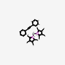 C(#Cc1ccccc1)c1ccccc1.Cc1c(C)c(C)[p]([Zr][p]2c(C)c(C)c(C)c2C)c1C